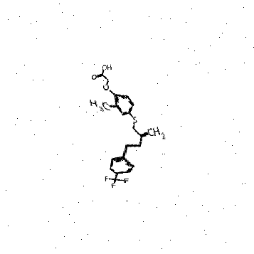 C=C(CCc1ccc(C(F)(F)F)cc1)CSc1ccc(OCC(=O)O)c(C)c1